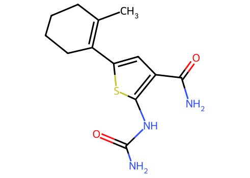 CC1=C(c2cc(C(N)=O)c(NC(N)=O)s2)CCCC1